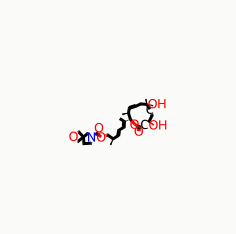 C/C(=C\C=C\[C@@H](C)COC(=O)N1CCC2(COC2)C1)[C@H]1OC(=O)C[C@H](O)CC[C@@](C)(O)C/C=C/[C@@H]1C